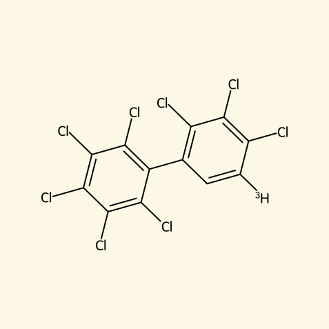 [3H]c1cc(-c2c(Cl)c(Cl)c(Cl)c(Cl)c2Cl)c(Cl)c(Cl)c1Cl